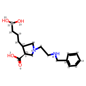 O=C(O)[C@@H]1CN(CCNCc2ccccc2)CC1CCCB(O)O